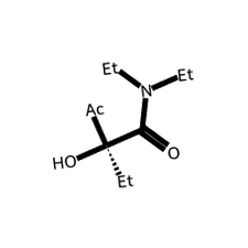 CCN(CC)C(=O)[C@](O)(CC)C(C)=O